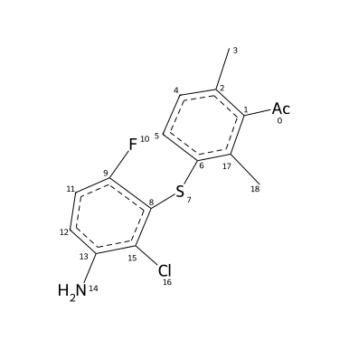 CC(=O)c1c(C)ccc(Sc2c(F)ccc(N)c2Cl)c1C